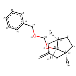 C=C1C[C@H]2CC[C@@H](C1)[C@H]2OCOCc1ccccc1